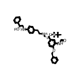 CC(C)(C)[Si](C)(C)O[C@@H](CNCCc1ccc(NC[C@@H](O)c2ccccc2)cc1)c1ccc(OCc2ccccc2)c(NC=O)c1